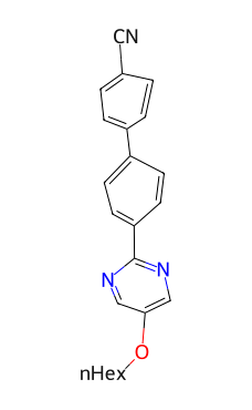 CCCCCCOc1cnc(-c2ccc(-c3ccc(C#N)cc3)cc2)nc1